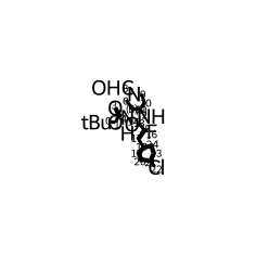 CC(C)(C)OC(=O)N[C@@H]1CN(C=O)CC[C@@H]1NC(=O)C(F)=Cc1ccc(Cl)cc1